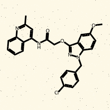 COc1ccc2c(c1)c(OCC(=O)Nc1cc(C)nc3ccccc13)nn2Cc1ccc(Cl)cc1